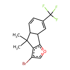 CC1(C)c2c(Br)coc2C2C=C(C(F)(F)F)C=CC21